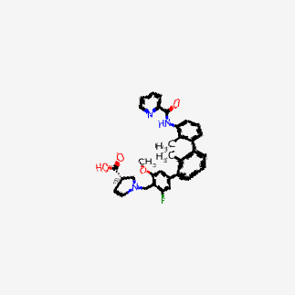 COc1cc(-c2cccc(-c3cccc(NC(=O)c4ccccn4)c3C)c2C)cc(F)c1CN1CC[C@H](C(=O)O)C1